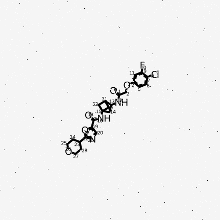 O=C(COc1ccc(Cl)c(F)c1)NC1CC2(NC(=O)c3cnc(C4CCOCC4)o3)CC1C2